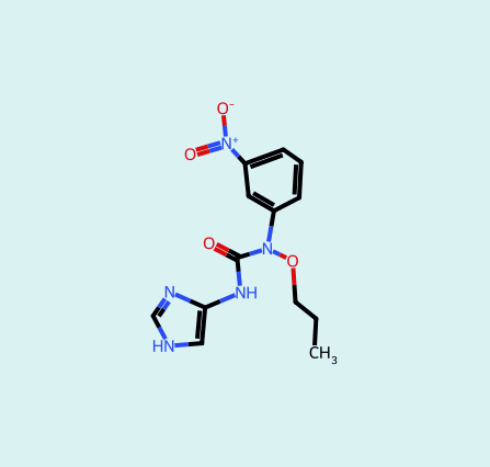 CCCON(C(=O)Nc1c[nH]cn1)c1cccc([N+](=O)[O-])c1